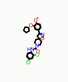 COc1ccc(C2=NOC3(CCN(C(=O)Nc4ccc(Cl)cc4Cl)CC3)C2)cc1OC1CCCC1